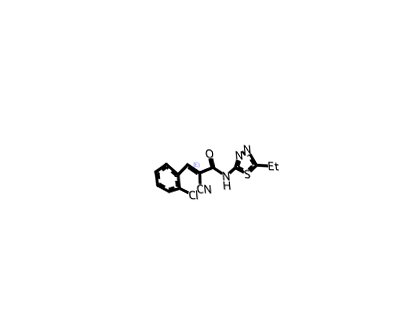 CCc1nnc(NC(=O)/C(C#N)=C/c2ccccc2Cl)s1